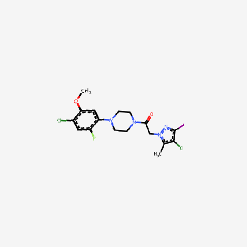 COc1cc(N2CCN(C(=O)Cn3nc(I)c(Cl)c3C)CC2)c(F)cc1Cl